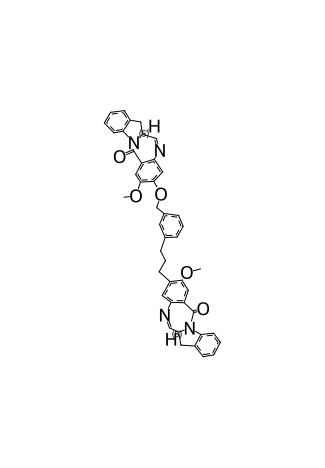 COc1cc2c(cc1CCCc1cccc(COc3cc4c(cc3OC)C(=O)N3c5ccccc5C[C@H]3C=N4)c1)N=C[C@@H]1Cc3ccccc3N1C2=O